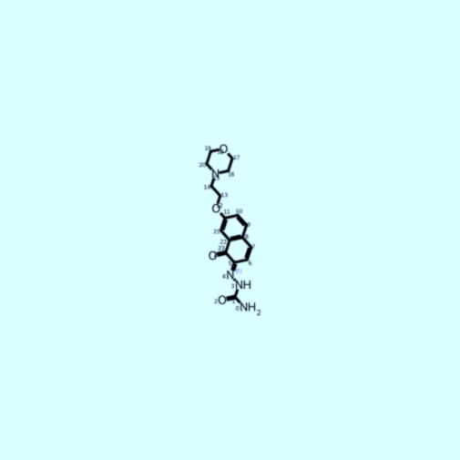 NC(=O)N/N=C1\C=Cc2ccc(OCCN3CCOCC3)cc2C1=O